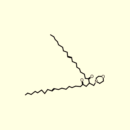 CCCCCCCCC=CCCCCCCCC(=O)CC(CN1CCOCC1)C(=O)CCCCCCCC=CCCCCCCCC